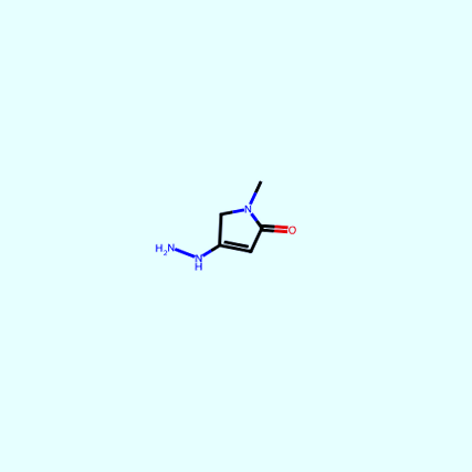 CN1CC(NN)=CC1=O